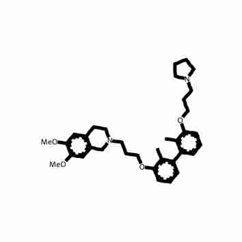 COc1cc2c(cc1OC)CN(CCCOc1cccc(-c3cccc(OCCCN4CCCC4)c3C)c1C)CC2